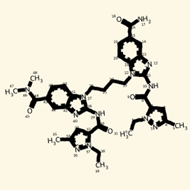 CCn1nc(C)cc1C(=O)Nc1nc2cc(C(N)=O)ccc2n1CCCCn1c(NC(=O)c2cc(C)nn2CC)nc2cc(C(=O)N(C)C)ccc21